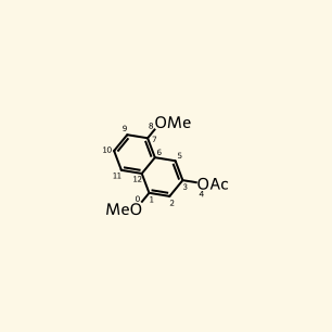 COc1cc(OC(C)=O)cc2c(OC)cccc12